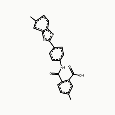 Cc1ccc(C(=O)Nc2ccc(-c3nc4ccc(C)cc4s3)cc2)c(C(=O)O)c1